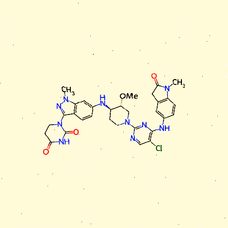 CO[C@@H]1CN(c2ncc(Cl)c(Nc3ccc4c(c3)CC(=O)N4C)n2)CC[C@H]1Nc1ccc2c(N3CCC(=O)NC3=O)nn(C)c2c1